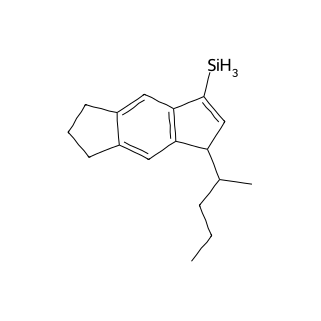 CCCC(C)C1C=C([SiH3])c2cc3c(cc21)CCC3